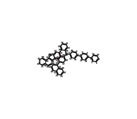 c1ccc(-c2ccc(-c3ccc(N(c4ccc(-c5cccc6ccccc56)cc4)c4ccccc4-c4ccc5c(c4)oc4c6ccccc6ccc54)cc3)cc2)cc1